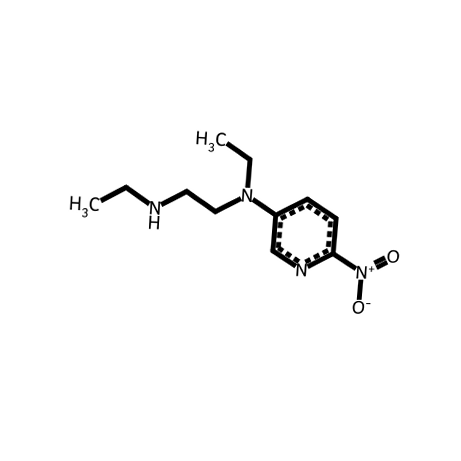 CCNCCN(CC)c1ccc([N+](=O)[O-])nc1